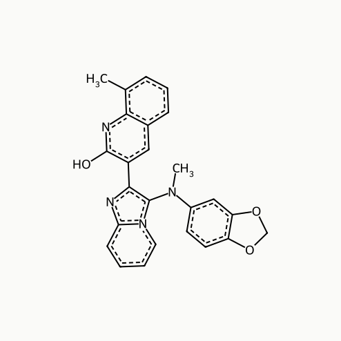 Cc1cccc2cc(-c3nc4ccccn4c3N(C)c3ccc4c(c3)OCO4)c(O)nc12